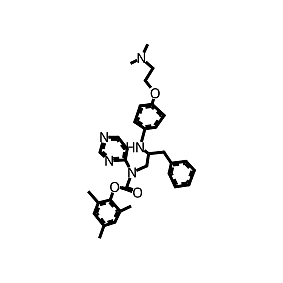 Cc1cc(C)c(OC(=O)N(CC(Cc2ccccc2)Nc2ccc(OCCN(C)C)cc2)c2ccncn2)c(C)c1